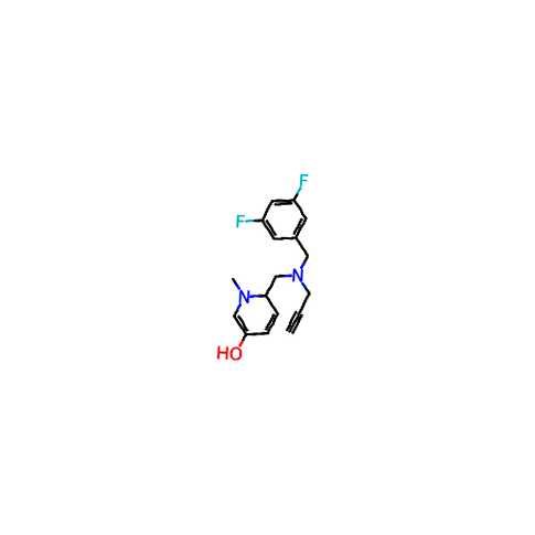 C#CCN(Cc1cc(F)cc(F)c1)CC1C=CC(O)=CN1C